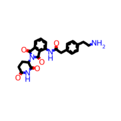 NCCc1ccc(CC(=O)Nc2cccc3c2C(=O)N(C2CCC(=O)NC2=O)C3=O)cc1